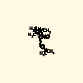 CCc1nc2c(C)cc(C)nc2n1Cc1ccc(/C=C/CN2CCC(N(CC)CC)CC2)cc1.Cl.Cl